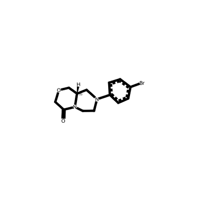 O=C1COC[C@@H]2CN(c3ccc(Br)cc3)CCN12